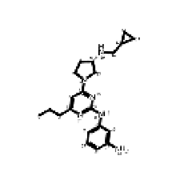 CCCc1cc(N2CC[C@H](NCC3CC3)C2)nc(Nc2cccc(N)c2)n1